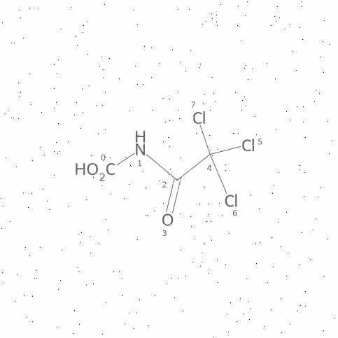 O=C(O)NC(=O)C(Cl)(Cl)Cl